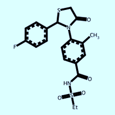 CCS(=O)(=O)NC(=O)c1ccc(N2C(=O)CSC2c2ccc(F)cc2)c(C)c1